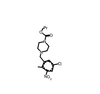 Cc1c(CN2CCN(C(=O)OC(C)C)CC2)cc(Cl)cc1[N+](=O)[O-]